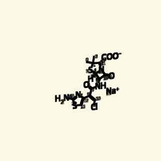 CC1(C)S[C@@H]2[C@H](NC(=O)C(=CCl)c3csc(N)n3)C(=O)N2[C@H]1C(=O)[O-].[Na+]